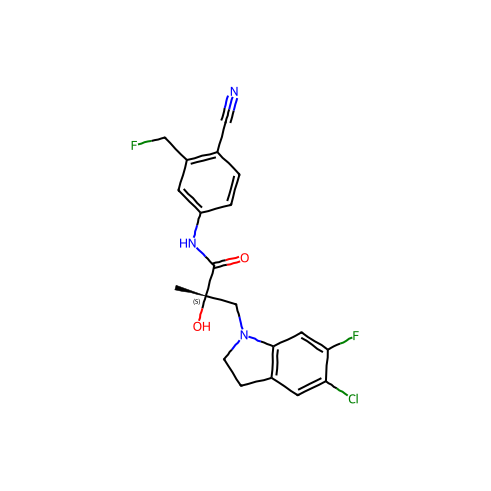 C[C@](O)(CN1CCc2cc(Cl)c(F)cc21)C(=O)Nc1ccc(C#N)c(CF)c1